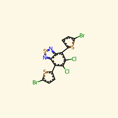 Clc1c(Cl)c(-c2ccc(Br)s2)c2nsnc2c1-c1ccc(Br)s1